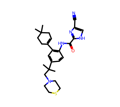 CC1(C)CC=C(c2cc(C(C)(C)CN3CCSCC3)ccc2NC(=O)c2nc(C#N)c[nH]2)CC1